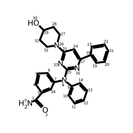 NC(=O)c1cccc(N(c2ccccc2)c2nc(-c3ccccc3)cc(N3CCC(O)CC3)n2)c1